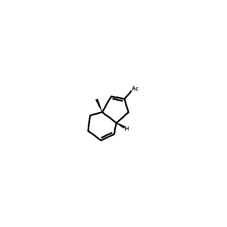 CC(=O)C1=C[C@@]2(C)CCC=C[C@H]2C1